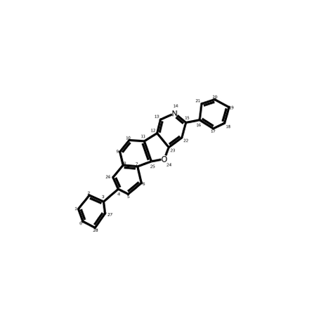 c1ccc(-c2ccc3c(ccc4c5cnc(-c6ccccc6)cc5oc34)c2)cc1